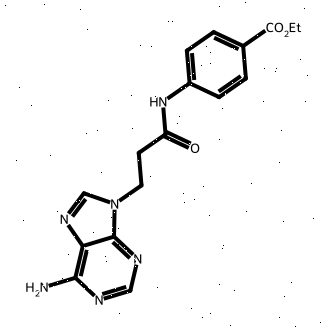 CCOC(=O)c1ccc(NC(=O)CCn2cnc3c(N)ncnc32)cc1